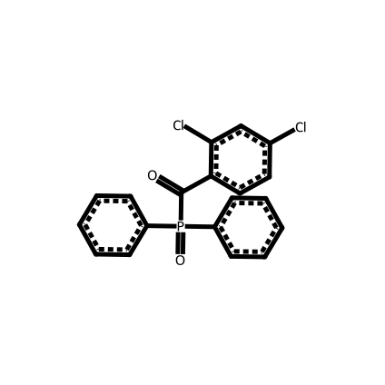 O=C(c1ccc(Cl)cc1Cl)P(=O)(c1ccccc1)c1ccccc1